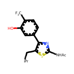 CC(=O)Nc1nc(-c2ccc(C(F)(F)F)c(O)c2)c(CC(C)C)s1